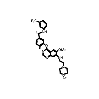 COc1cc2c(Oc3cc(C(=O)Nc4cccc(C(F)(F)F)c4)ccc3C)ncnc2cc1NCCN1CCN(C(C)=O)CC1